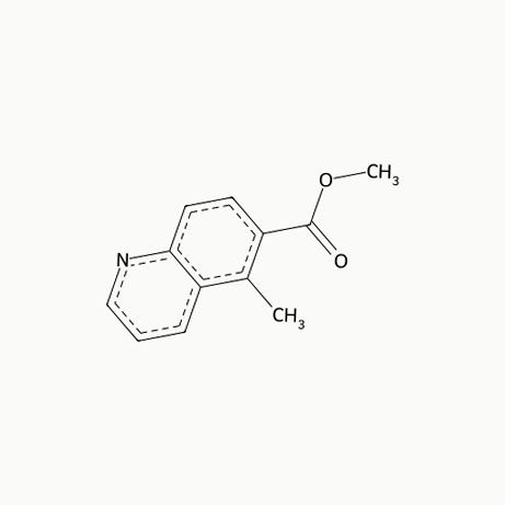 COC(=O)c1ccc2ncccc2c1C